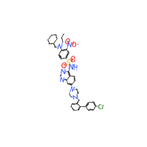 CCCN(CC1CCCCC1)c1ccc(S(=O)(=O)Nc2ncnc3cc(N4CCN(Cc5ccccc5-c5ccc(Cl)cc5)CC4)ccc23)cc1[N+](=O)[O-]